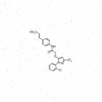 O=C(O)C=Cc1ccc(NC(=O)COc2cc(C(F)(F)F)nn2-c2ccccc2Cl)cc1